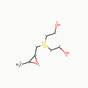 CC1OC1C[SH](CCO)CCO